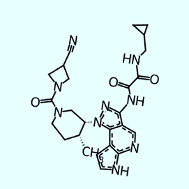 C[C@@H]1CCN(C(=O)N2CC(C#N)C2)C[C@@H]1n1nc(NC(=O)C(=O)NCC2CC2)c2cnc3[nH]ccc3c21